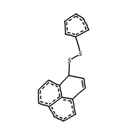 C1=CC(SSc2ccccc2)c2cccc3cccc1c23